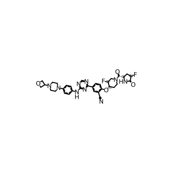 N#Cc1cc(-c2ncnc(Nc3ccc(N4CCN(C5COC5)CC4)cc3)n2)ccc1O[C@H]1CCN(C(=O)[C@@H]2C[C@@H](F)C(=O)N2)C[C@@H]1F